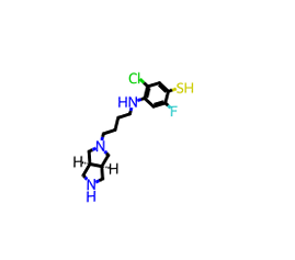 Fc1cc(NCCCCN2C[C@H]3CNC[C@H]3C2)c(Cl)cc1S